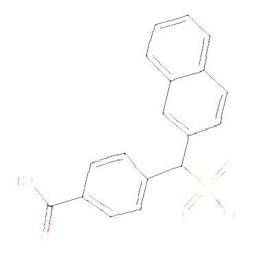 O=C(O)c1ccc(C(c2ccc3ccccc3c2)S(=O)(=O)O)cc1